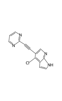 Clc1c(C#Cc2ncccn2)cnc2[nH]ccc12